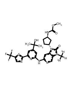 [2H]C([2H])([2H])n1c(=O)n([C@@H]2CC[C@@H](NC(=O)OC)C2)c2cc(Nc3cc(C(C)(C)O)cc(-c4ncc(C(F)(F)F)s4)n3)ncc21